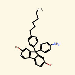 CCCCCCc1ccc(C2(c3ccc(N)cc3)c3cc(Br)ccc3-c3ccc(Br)cc32)cc1